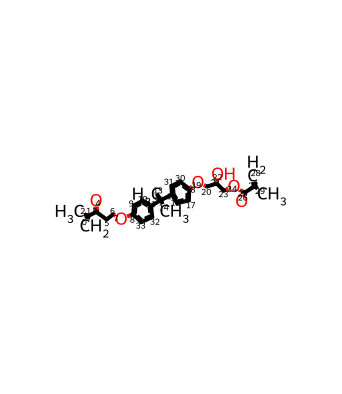 C=C(C)C(=O)CCOc1ccc(C(C)(C)c2ccc(OCC(O)COC(=O)C(=C)C)cc2)cc1